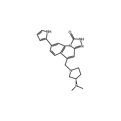 CN(C)[C@@H]1CCN(Cc2cc3n[nH]c(=O)n3c3cc(-c4ccc[nH]4)ccc23)C1